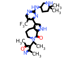 Cc1noc(C)c1C(C)N1CCCc2c(-c3nc(NC4CCC(C)(C)NC4)ncc3C(F)(F)F)c[nH]c2C1=O